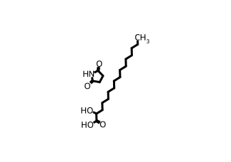 CCCCCCCCCCCCCCC(O)C(=O)O.O=C1CCC(=O)N1